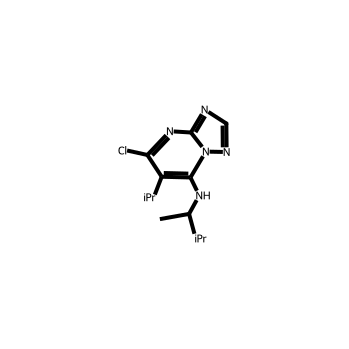 CC(C)c1c(Cl)nc2ncnn2c1NC(C)C(C)C